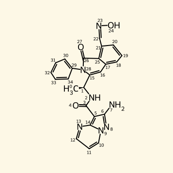 C[C@H](NC(=O)c1c(N)nn2cccnc12)c1cc2cccc(/C=N\O)c2c(=O)n1-c1ccccc1